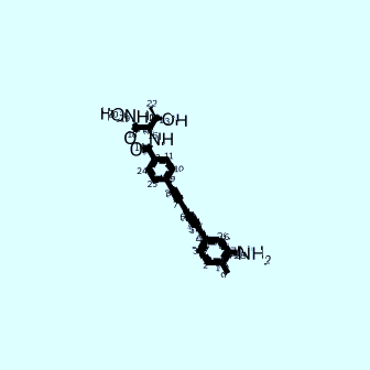 Cc1ccc(C#CC#Cc2ccc(C(=O)N[C@H](C(=O)NO)[C@@H](C)O)cc2)cc1N